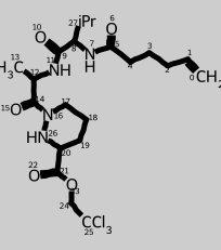 C=CCCCC(=O)NC(C(=O)NC(C)C(=O)N1CCCC(C(=O)OCC(Cl)(Cl)Cl)N1)C(C)C